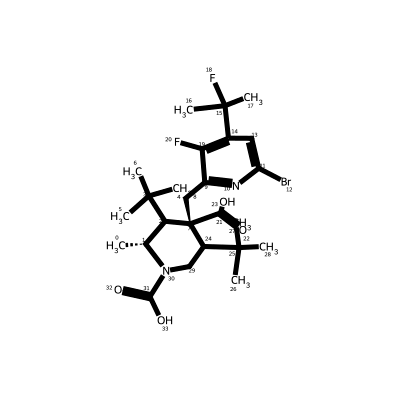 C[C@@H]1C(C(C)(C)C)[C@](Cc2nc(Br)cc(C(C)(C)F)c2F)(C(=O)O)C(C(C)(C)C)CN1C(=O)O